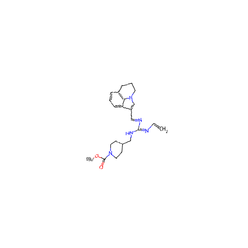 C=C/N=C(\N=C\c1cn2c3c(cccc13)CCC2)NCC1CCN(C(=O)OC(C)(C)C)CC1